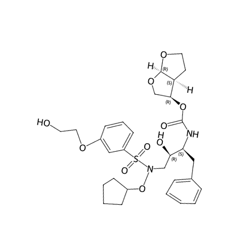 O=C(N[C@@H](Cc1ccccc1)[C@H](O)CN(OC1CCCC1)S(=O)(=O)c1cccc(OCCO)c1)O[C@H]1CO[C@H]2OCC[C@H]21